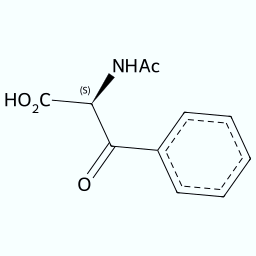 CC(=O)N[C@H](C(=O)O)C(=O)c1ccccc1